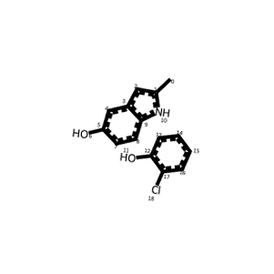 Cc1cc2cc(O)ccc2[nH]1.Oc1ccccc1Cl